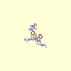 CCNC(=O)Nc1ccc([C@]2(C(=O)Nc3cnccc3N3CCCC(N)C3)NC=C(N)S2)cc1